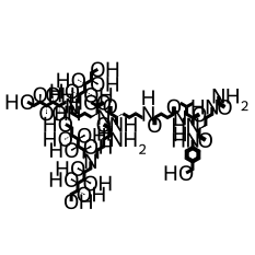 CC(C)[C@H](NC(=O)CCC(=O)NCCCC[C@H](NC(=O)[C@@H](N)CCCCN(C[C@H](O)[C@@H](O)[C@H](O)[C@H](O)CO)C[C@H](O)[C@@H](O)[C@H](O)[C@H](O)CO)C(=O)N[C@@H](CCCCN(C[C@H](O)[C@@H](O)[C@H](O)[C@H](O)CO)C[C@H](O)[C@@H](O)[C@H](O)[C@H](O)CO)C(=O)O)C(=O)N[C@@H](CCCNC(N)=O)C(=O)Nc1ccc(CO)cc1